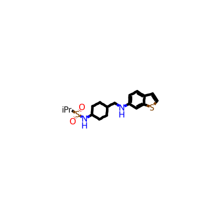 CC(C)S(=O)(=O)NC1CCC(CNc2ccc3ccsc3c2)CC1